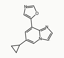 [c]1cnc2c(-c3cnco3)cc(C3CC3)cn12